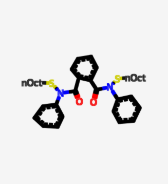 CCCCCCCCSN(C(=O)c1ccccc1C(=O)N(SCCCCCCCC)c1ccccc1)c1ccccc1